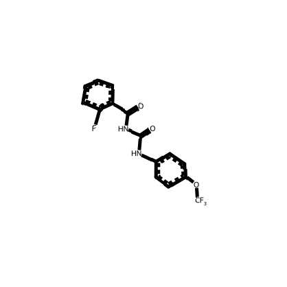 O=C(NC(=O)c1ccccc1F)Nc1ccc(OC(F)(F)F)cc1